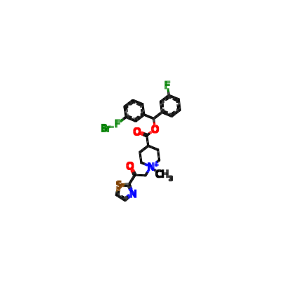 C[N+]1(CC(=O)c2nccs2)CCC(C(=O)OC(c2cccc(F)c2)c2cccc(F)c2)CC1.[Br-]